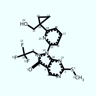 CSc1ncc2c(=O)n(CC(F)(F)F)n(-c3cccc(C4(CO)CC4)n3)c2n1